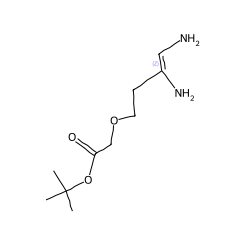 CC(C)(C)OC(=O)COCC/C(N)=C/N